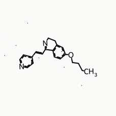 CCCCOc1ccc2c(c1)CCN=C2/C=C/c1ccncc1